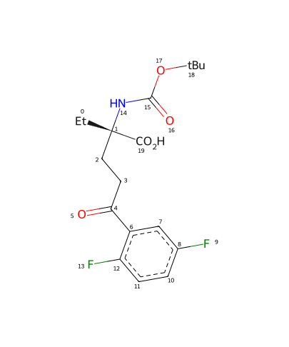 CC[C@@](CCC(=O)c1cc(F)ccc1F)(NC(=O)OC(C)(C)C)C(=O)O